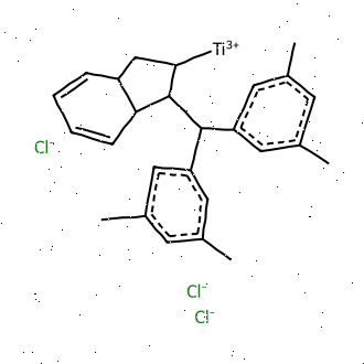 Cc1cc(C)cc(C(c2cc(C)cc(C)c2)C2[CH]([Ti+3])CC3C=CC=CC32)c1.[Cl-].[Cl-].[Cl-]